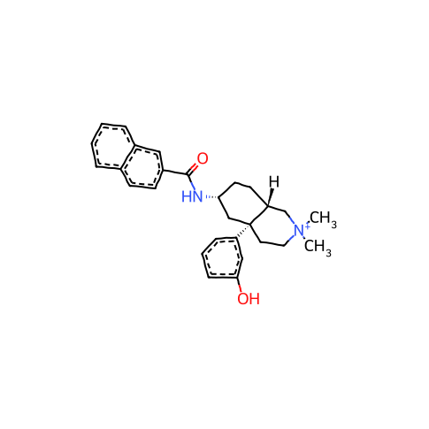 C[N+]1(C)CC[C@@]2(c3cccc(O)c3)C[C@H](NC(=O)c3ccc4ccccc4c3)CC[C@@H]2C1